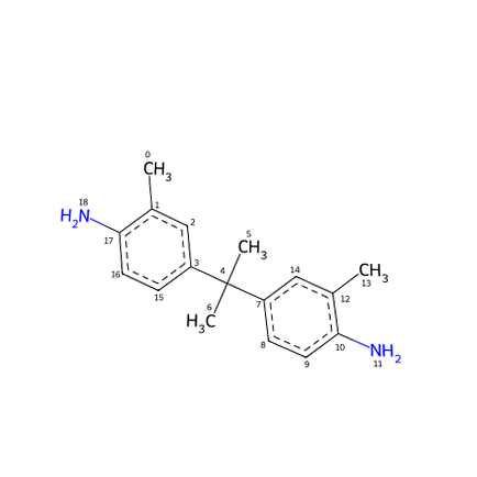 Cc1cc(C(C)(C)c2ccc(N)c(C)c2)ccc1N